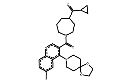 O=C(C1CC1)C1CCCN(C(=O)c2cnc3ccc(F)cc3c2N2CCC3(CC2)OCCO3)CC1